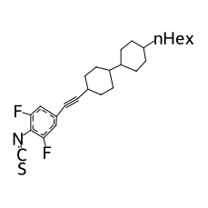 CCCCCCC1CCC(C2CCC(C#Cc3cc(F)c(N=C=S)c(F)c3)CC2)CC1